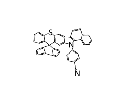 N#Cc1ccc(-n2c3cc4c(cc3c3ccc5ccccc5c32)Sc2ccccc2C42c3ccccc3-c3ccccc32)cc1